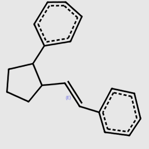 C(=C\C1CCCC1c1ccccc1)/c1ccccc1